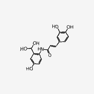 O=C(/C=C/c1ccc(O)c(O)c1)Nc1ccc(O)cc1C(O)O